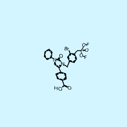 O=C(O)c1ccc(-c2cn(-c3ccccc3)c(=O)n2Cc2ccc(CP(=O)(OF)OF)c(Br)c2)cc1